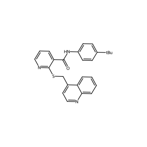 CC(C)(C)c1ccc(NC(=O)c2cccnc2SCc2ccnc3ccccc23)cc1